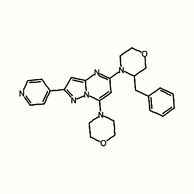 c1ccc(CC2COCCN2c2cc(N3CCOCC3)n3nc(-c4ccncc4)cc3n2)cc1